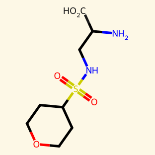 NC(CNS(=O)(=O)C1CCOCC1)C(=O)O